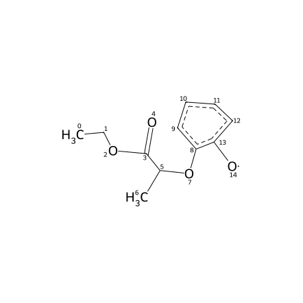 CCOC(=O)C(C)Oc1ccccc1[O]